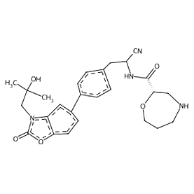 CC(C)(O)Cn1c(=O)oc2ccc(-c3ccc(CC(C#N)NC(=O)[C@@H]4CNCCCO4)cc3)cc21